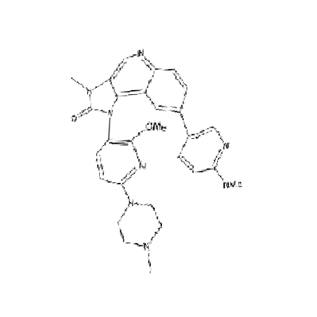 CNc1ccc(-c2ccc3ncc4c(c3c2)n(-c2ccc(N3CCN(C)CC3)nc2OC)c(=O)n4C)cn1